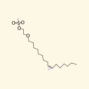 CCCCCC/C=C\CCCCCCCCOCCOS(C)(=O)=O